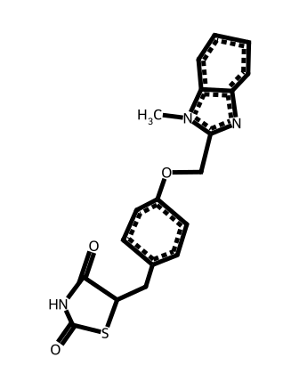 Cn1c(COc2ccc(CC3SC(=O)NC3=O)cc2)nc2ccccc21